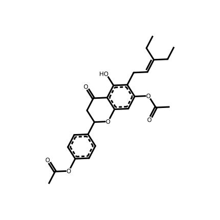 CCC(=CCc1c(OC(C)=O)cc2c(c1O)C(=O)CC(c1ccc(OC(C)=O)cc1)O2)CC